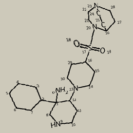 NC1(C2CCCCC2)CNCCC1N1CCC(S(=O)(=O)N2CCN3CCC2CC3)CC1